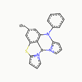 CC(C)(C)c1cc2c3c(c1)N(c1ccccc1)c1cccn1B3n1cccc1S2